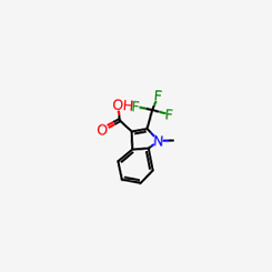 Cn1c(C(F)(F)F)c(C(=O)O)c2ccccc21